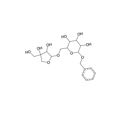 OCC1(O)COC(OCC2OC(OCc3ccccc3)C(O)C(O)C2O)C1O